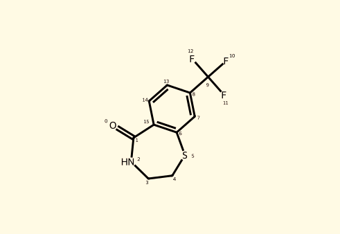 O=C1NCCSc2cc(C(F)(F)F)ccc21